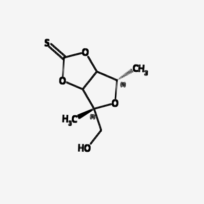 C[C@@H]1O[C@](C)(CO)C2OC(=S)OC21